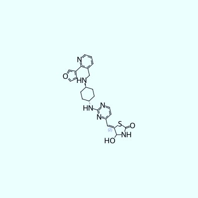 O=C1NC(O)/C(=C/c2ccnc(N[C@H]3CC[C@H](NCc4cccnc4-c4ccoc4)CC3)n2)S1